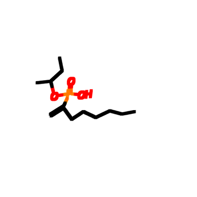 C=C(CCCCCC)P(=O)(O)OC(C)CC